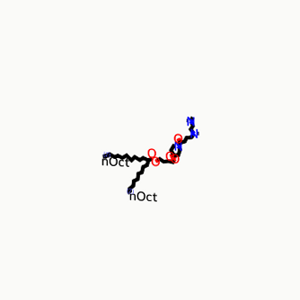 CCCCCCCC/C=C\CCCCCCCCC(CCCCCCC/C=C\CCCCCCCC)C(=O)OCCC1COC2(CCN(C(=O)CCCN(C)CCN(C)C)CC2)O1